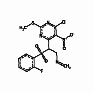 C=NCC(c1nc(SC)nc(Cl)c1[N+](=O)[O-])S(=O)(=O)c1ccccc1F